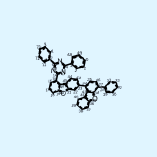 c1ccc(-c2nc(-c3ccccc3)nc(-c3cccc4oc5cc(-c6ccc(-c7ccccc7)c7oc8ccccc8c67)ccc5c34)n2)cc1